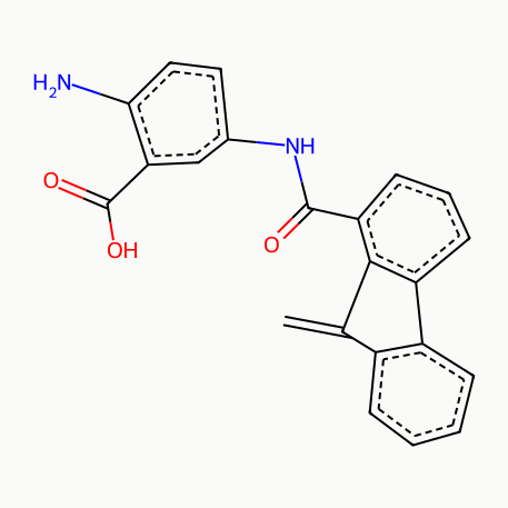 C=C1c2ccccc2-c2cccc(C(=O)Nc3ccc(N)c(C(=O)O)c3)c21